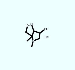 Br.CN1CC(O)C(O)C1(C)CO